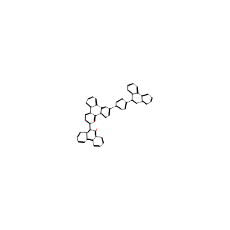 c1ccc2c(c1)cc(-c1ccc(-c3ccc4c(c3)c3ccccc3c3ccc5c(oc6c7ccccc7c7ccccc7c56)c34)cc1)c1ccccc12